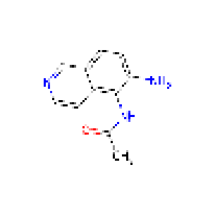 CC(=O)Nc1c(N)ccc2cnccc12